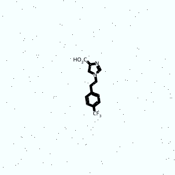 O=C(O)C1CN(CCc2ccc(C(F)(F)F)cc2)C=N1